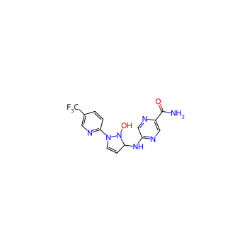 NC(=O)c1cnc(NC2C=CN(c3ccc(C(F)(F)F)cn3)N2O)cn1